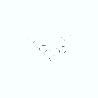 CNS(=O)(=O)Nc1cccc(CN2Cc3ncc(OC(=O)N(C)C)cc3OC2=O)c1F